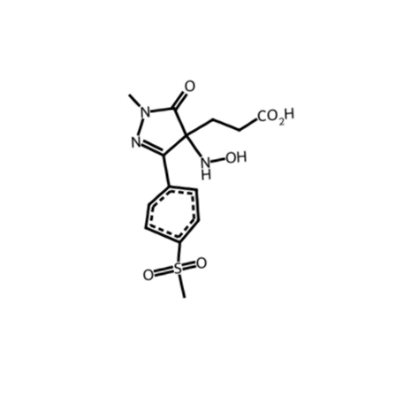 CN1N=C(c2ccc(S(C)(=O)=O)cc2)C(CCC(=O)O)(NO)C1=O